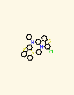 Clc1cc(N(c2ccccc2)c2cccc(N(c3ccccc3)c3cc(Sc4ccccc4)c4c(c3)sc3ccccc34)c2)c2c(c1)sc1ccccc12